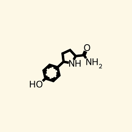 NC(=O)C1CCC(c2ccc(O)cc2)N1